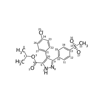 CC(C)OC(=O)c1[nH]nc(-c2ccc(S(C)(=O)=O)cc2)c1-c1ccc(Cl)cc1